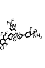 NC(=O)c1ccc(-c2cnn([C@@H](Cc3ccn(C(F)F)n3)c3ccc(-c4c(C(F)F)ccc(Cl)c4F)c[n+]3[O-])c2)cc1F